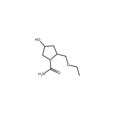 CCOCC1CC(O)CN1C(N)=O